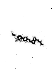 CCCCCC1CCC2C(CCC3CCC(c4ccc(OCCC)c(F)c4F)CC3)CCC12